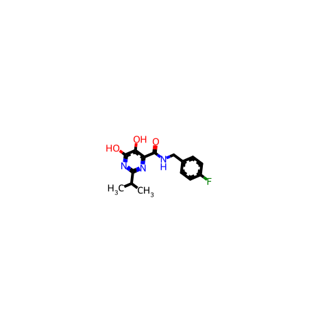 CC(C)c1nc(O)c(O)c(C(=O)NCc2ccc(F)cc2)n1